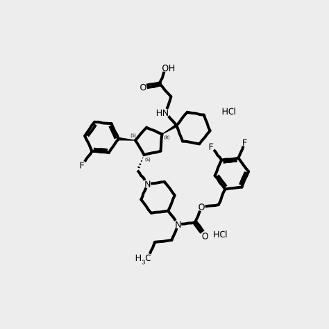 CCCN(C(=O)OCc1ccc(F)c(F)c1)C1CCN(C[C@H]2C[C@H](C3(NCC(=O)O)CCCCC3)C[C@@H]2c2cccc(F)c2)CC1.Cl.Cl